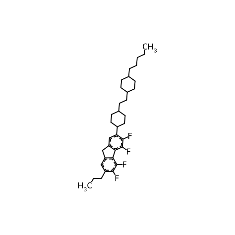 CCCCCC1CCC(CCC2CCC(c3cc4c(c(F)c3F)-c3c(cc(CCC)c(F)c3F)C4)CC2)CC1